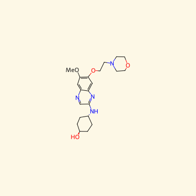 COc1cc2ncc(N[C@H]3CC[C@H](O)CC3)nc2cc1OCCN1CCOCC1